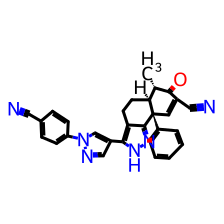 C[C@@H]1C(=O)C(C#N)=C[C@]2(c3ccccc3)c3n[nH]c(-c4cnn(-c5ccc(C#N)cc5)c4)c3CC[C@@H]12